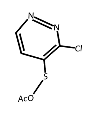 CC(=O)OSc1ccnnc1Cl